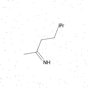 CC(=N)CCC(C)C